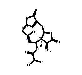 C=C1C(=O)OC2CC3=C[C@@H](C/C(C)=C/C(OC(=O)C(CC)CC)[C@H]12)OC3=O